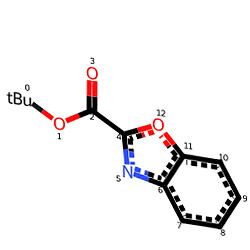 CC(C)(C)OC(=O)c1nc2ccccc2o1